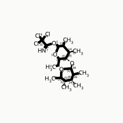 CCC1OC(OC(=N)C(Cl)(Cl)Cl)C(C)[C@@H](C)[C@@H]1O[C@@H]1OC(C)[C@@H](C)[C@@H](C)C1C